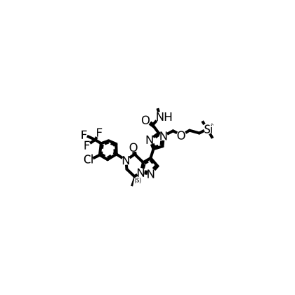 CNC(=O)c1nc(-c2cnn3c2C(=O)N(c2ccc(C(F)(F)F)c(Cl)c2)C[C@@H]3C)cn1COCC[Si](C)(C)C